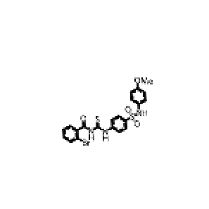 COc1ccc(NS(=O)(=O)c2ccc(NC(=S)NC(=O)c3ccccc3Br)cc2)cc1